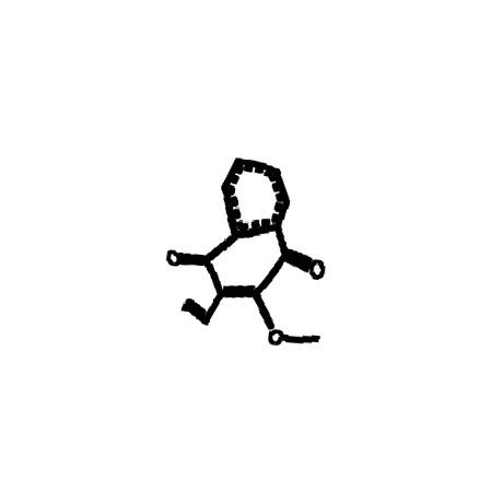 C=CC1=C(OC)C(=O)c2ccccc2C1=O